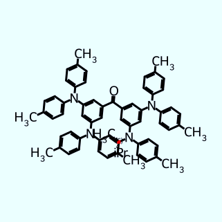 Cc1ccc(N(c2ccc(C)cc2)c2cc(C(=O)c3cc(N(c4ccc(C)cc4)c4ccc(C)cc4)cc(N(c4ccc(C)cc4)[C@@H](C)C(C)C)c3)cc(N(c3ccc(C)cc3)c3ccc(C)cc3)c2)cc1